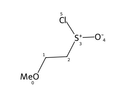 COCC[S+]([O-])Cl